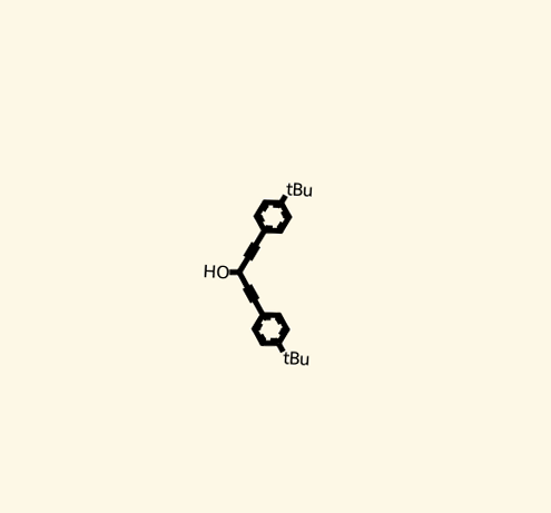 CC(C)(C)c1ccc(C#CC(O)C#Cc2ccc(C(C)(C)C)cc2)cc1